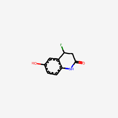 O=C1CC(F)c2cc(O)ccc2N1